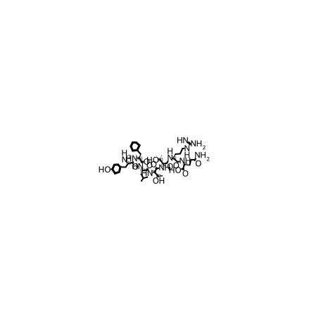 CC(C)C[C@H](NC(=O)[C@H](Cc1ccccc1)NC(=O)[C@@H](N)Cc1ccc(O)cc1)C(=O)N[C@H](C(=O)N[C@H](C(=O)N[C@@H](CCCNC(=N)N)C(=O)N[C@@H](CCC(N)=O)C(=O)O)[C@@H](C)O)[C@@H](C)O